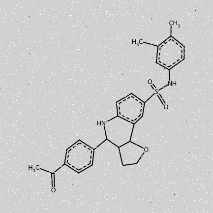 CC(=O)c1ccc(C2Nc3ccc(S(=O)(=O)Nc4ccc(C)c(C)c4)cc3C3OCCC23)cc1